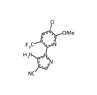 COc1nc(-n2ncc(C#N)c2N)c(C(F)(F)F)cc1Cl